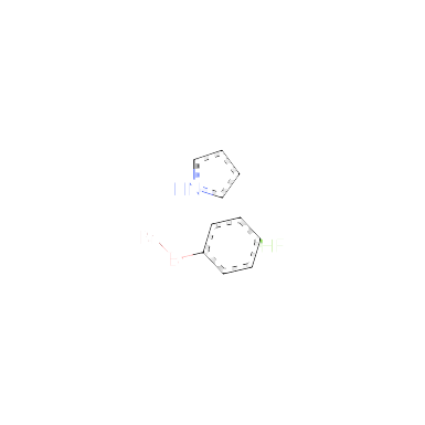 Br[B]c1ccccc1.F.c1cc[nH]c1